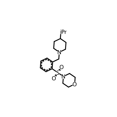 CC(C)C1CCN(Cc2ccccc2S(=O)(=O)N2CCOCC2)CC1